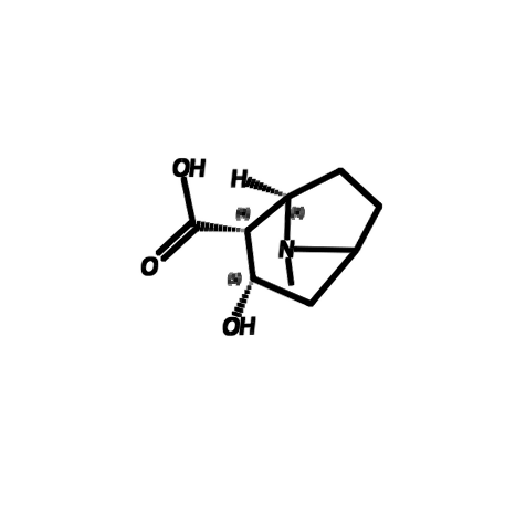 CN1C2CC[C@@H]1[C@@H](C(=O)O)[C@@H](O)C2